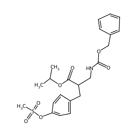 CC(C)OC(=O)C(CNC(=O)OCc1ccccc1)Cc1ccc(OS(C)(=O)=O)cc1